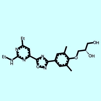 CCNc1nc(CC)cc(-c2nc(-c3cc(C)c(OC[C@@H](O)CO)c(C)c3)no2)n1